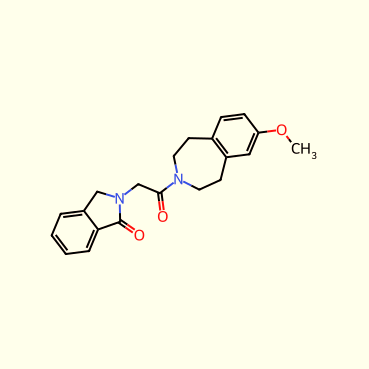 COc1ccc2c(c1)CCN(C(=O)CN1Cc3ccccc3C1=O)CC2